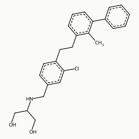 Cc1c(CCc2ccc(CNC(CO)CO)cc2Cl)cccc1-c1ccccc1